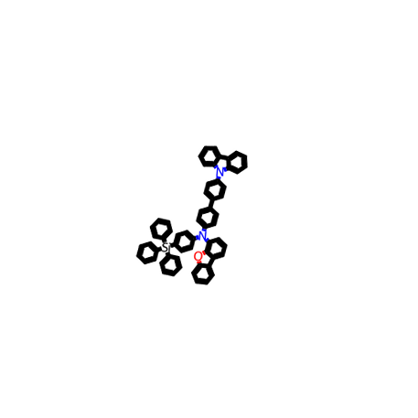 c1ccc([Si](c2ccccc2)(c2ccccc2)c2ccc(N(c3ccc(-c4ccc(-n5c6ccccc6c6ccccc65)cc4)cc3)c3cccc4c3oc3ccccc34)cc2)cc1